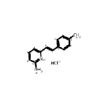 Cc1ccc(/C=C/c2cccc(N)n2)cc1.Cl